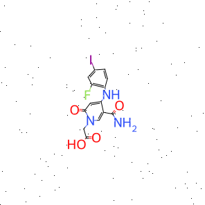 NC(=O)c1cn(CC(=O)O)c(=O)cc1Nc1ccc(I)cc1F